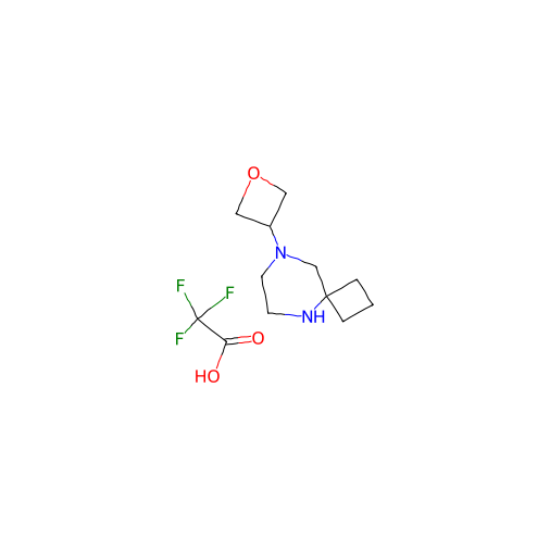 C1CC2(C1)CN(C1COC1)CCN2.O=C(O)C(F)(F)F